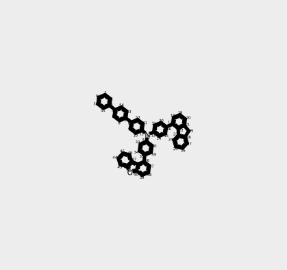 c1ccc(-c2ccc(-c3ccc(N(c4ccc(-c5cccc6c5-c5ccccc5C6)cc4)c4ccc(-c5cccc6oc7ccccc7c56)cc4)cc3)cc2)cc1